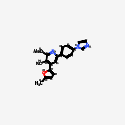 COc1nc(-c2ccc(-n3ccnc3)cc2)cc(-c2ccc(C)o2)c1C#N